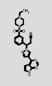 CCN1CCN(S(=O)(=O)c2cccc(C(CC#N)n3cc(-c4ncnc5[nH]ccc45)cn3)c2)CC1